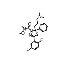 CON(C)C(=O)N1N=C(c2cc(F)ccc2F)SC1(CCCN(C)C)c1ccccc1